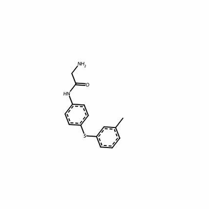 Cc1cccc(Sc2ccc(NC(=O)CN)cc2)c1